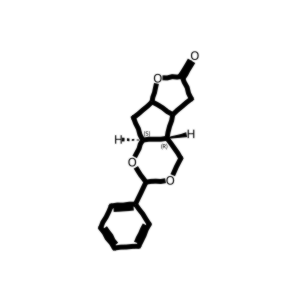 O=C1CC2C(C[C@@H]3OC(c4ccccc4)OC[C@@H]23)O1